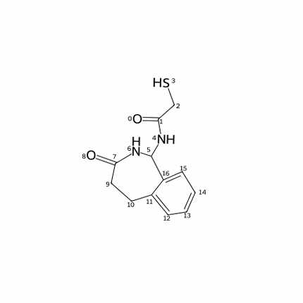 O=C(CS)NC1NC(=O)CCc2ccccc21